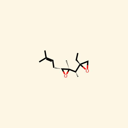 CC[C@@]1([C@H](C)[C@@]2(C)O[C@@H]2CC=C(C)C)CO1